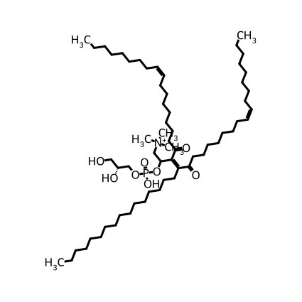 CCCCCCCC/C=C\CCCCCCCC(=O)C(CCCCCCCCCCCCCCCC)=C(C(=O)CCCCCCC/C=C\CCCCCCCC)C(C[N+](C)(C)C)OP(=O)(O)OC[C@H](O)CO